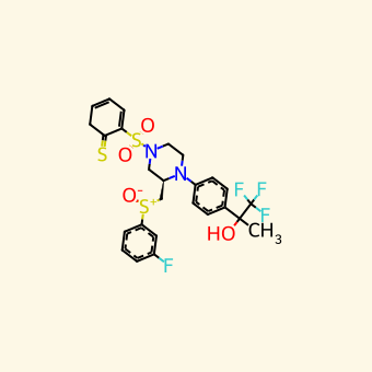 CC(O)(c1ccc(N2CCN(S(=O)(=O)C3=CC=CCC3=S)C[C@@H]2C[S@+]([O-])c2cccc(F)c2)cc1)C(F)(F)F